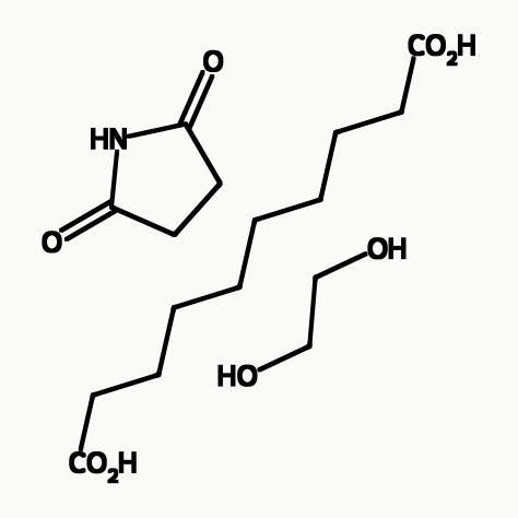 O=C(O)CCCCCCCCC(=O)O.O=C1CCC(=O)N1.OCCO